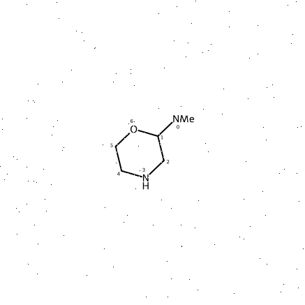 [CH2]NC1CNCCO1